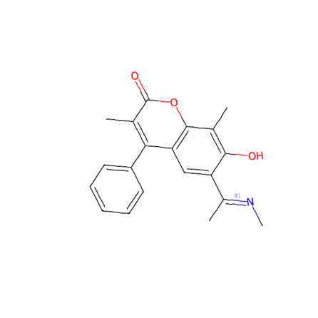 C/N=C(\C)c1cc2c(-c3ccccc3)c(C)c(=O)oc2c(C)c1O